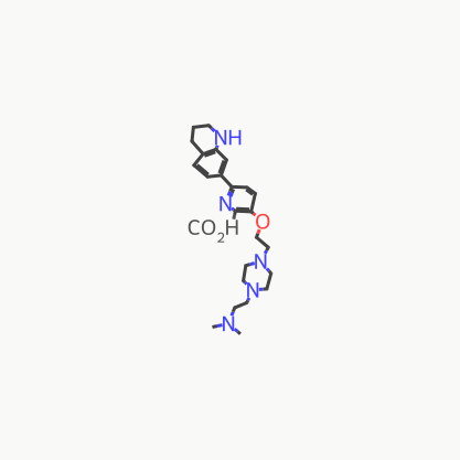 CN(C)CCN1CCN(CCOc2ccc(-c3ccc4c(c3)NCCC4)nc2C(=O)O)CC1